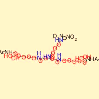 CC(=O)N[C@@H]1CO[C@H](COCCOCCOCCOCCNC(=O)CCOCC(COCCC(=O)NCCOCCOCCOCCOC[C@H]2OC[C@@H](NC(C)=O)[C@@H](O)[C@H]2O)NC(=O)COCCOCCOCCNc2ccc([N+](=O)[O-])cc2[N+](=O)[O-])[C@H](O)[C@@H]1O